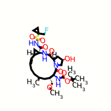 COC[C@@H]1CC(C)CC/C=C\[C@@H]2C[C@@]2(C(=O)NS(=O)(=O)C2(CF)CC2)NC(=O)[C@@H]2C[C@@H](O)CN2C(=O)[C@H]1NC(=O)OC(C)(C)C